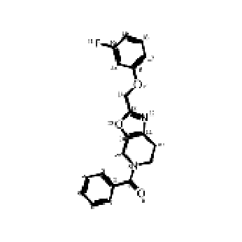 O=C(c1ccccc1)N1CCc2nc(COc3cccc(F)c3)oc2C1